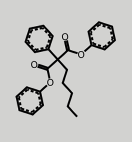 CCCCCC(C(=O)Oc1ccccc1)(C(=O)Oc1ccccc1)c1ccccc1